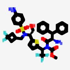 COC(=O)N(C(=O)[C@@H](N)C(c1ccccc1)c1ccccc1)[C@H](c1ccc([C@@H](CO)N(CC2CC(F)(F)C2)S(=O)(=O)c2ccc(N)cc2)s1)C(F)(F)F